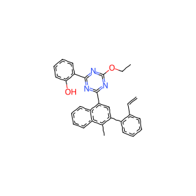 C=Cc1ccccc1-c1cc(-c2nc(OCC)nc(-c3ccccc3O)n2)c2ccccc2c1C